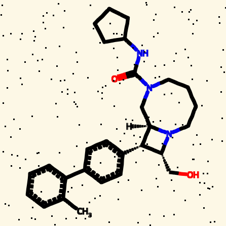 Cc1ccccc1-c1ccc([C@H]2[C@@H](CO)N3CCCCN(C(=O)NC4CCCC4)C[C@H]23)cc1